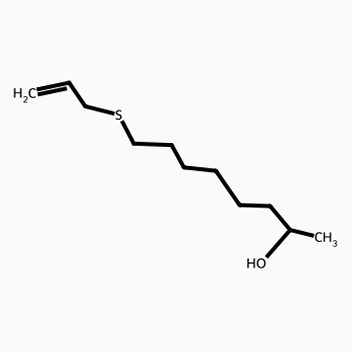 C=CCSCCCCCCC(C)O